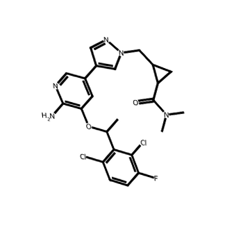 CC(Oc1cc(-c2cnn(CC3CC3C(=O)N(C)C)c2)cnc1N)c1c(Cl)ccc(F)c1Cl